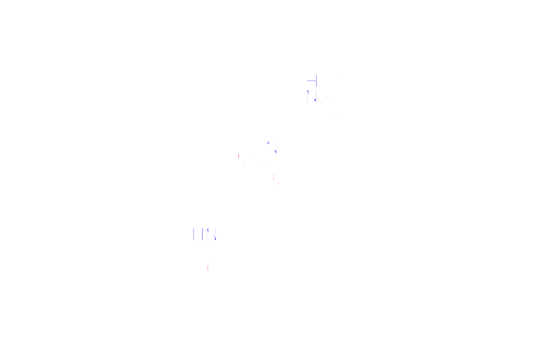 C=CC(=O)NC1CCN(S(=O)(=O)c2ccc3c(c2)CCC(=O)N3)C(C)C1